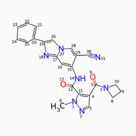 Cn1ncc(C(=O)N2CCC2)c1C(=O)Nc1cc2nc(-c3ccccc3)cn2cc1C#N